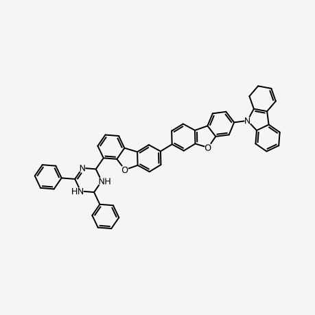 C1=Cc2c(n(-c3ccc4c(c3)oc3cc(-c5ccc6oc7c(C8N=C(c9ccccc9)NC(c9ccccc9)N8)cccc7c6c5)ccc34)c3ccccc23)CC1